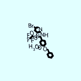 COc1cc(C2Nc3ncc(Br)cc3N2OC(=O)C(F)(F)F)ccc1OCc1ccccc1